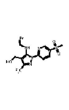 CC(C)CNc1c(CO)c(C(F)(F)F)nn1-c1ccc(S(C)(=O)=O)cn1